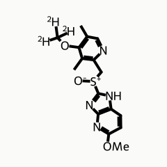 [2H]C([2H])([2H])Oc1c(C)cnc(C[S+]([O-])c2nc3nc(OC)ccc3[nH]2)c1C